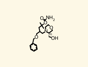 CC(C)(CC(COCc1ccccc1)CN1CCOC[C@@H]1CO)OC(N)=O